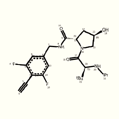 C#Cc1c(F)cc(CNC(=O)[C@@H]2C[C@@H](O)CN2C(=O)[C@@H](NC(C)C)C(C)(C)C)cc1F